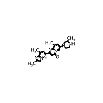 Cc1cn2nc(-c3cc(=O)n4cc(N5CCNC(C)C5)cc(C)c4n3)cc(C)c2n1